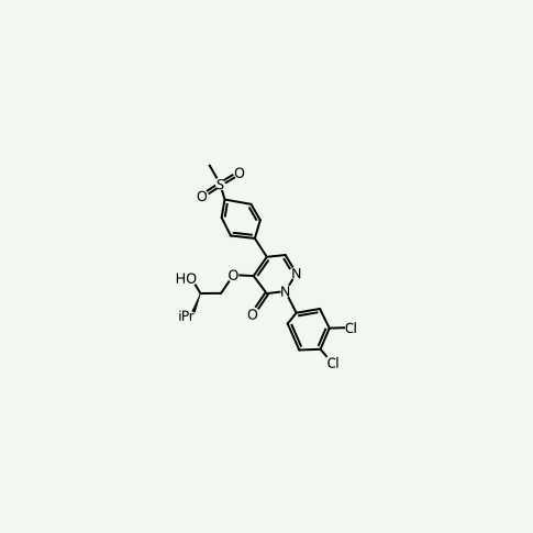 CC(C)[C@@H](O)COc1c(-c2ccc(S(C)(=O)=O)cc2)cnn(-c2ccc(Cl)c(Cl)c2)c1=O